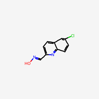 ON=Cc1ccc2cc(Cl)ccc2n1